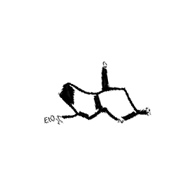 CCOC(=O)c1ccc2c(c1)N=C(CC)CC2=O